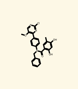 COc1cnc(Cl)nc1-c1ccc(N(Cc2ccccc2)C(=O)c2cc(C)c(O)cc2O)cc1